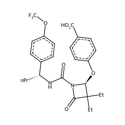 CCC[C@@H](NC(=O)N1C(=O)C(CC)(CC)[C@@H]1Oc1ccc(C(=O)O)cc1)c1ccc(OC(F)(F)F)cc1